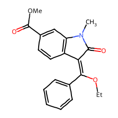 CCO/C(=C1\C(=O)N(C)c2cc(C(=O)OC)ccc21)c1ccccc1